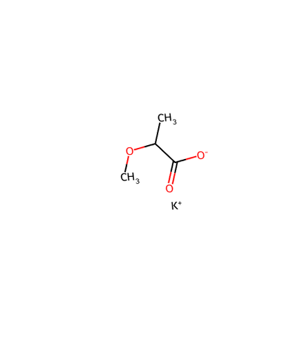 COC(C)C(=O)[O-].[K+]